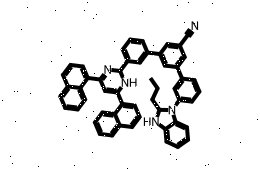 CCCC1Nc2ccccc2N1c1cccc(-c2cc(C#N)cc(-c3cccc(C4N=C(c5cccc6ccccc56)C=C(c5cccc6ccccc56)N4)c3)c2)c1